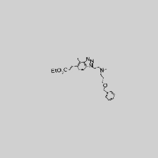 CCOC(=O)/C=C/c1ccc2c(nnn2CCN(C)CCCOCc2ccccc2)c1C